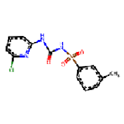 Cc1cccc(S(=O)(=O)NC(=O)Nc2cccc(Cl)n2)c1